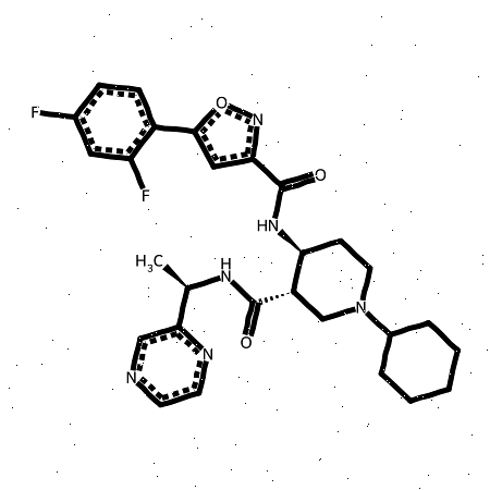 C[C@@H](NC(=O)[C@H]1CN(C2CCCCC2)CC[C@@H]1NC(=O)c1cc(-c2ccc(F)cc2F)on1)c1cnccn1